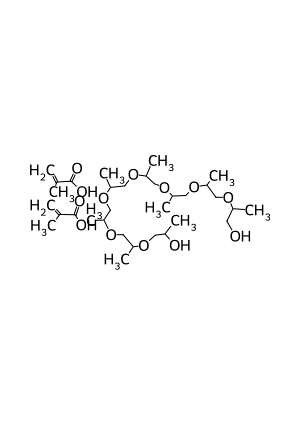 C=C(C)C(=O)O.C=C(C)C(=O)O.CC(O)COC(C)COC(C)COC(C)COC(C)COC(C)COC(C)COC(C)CO